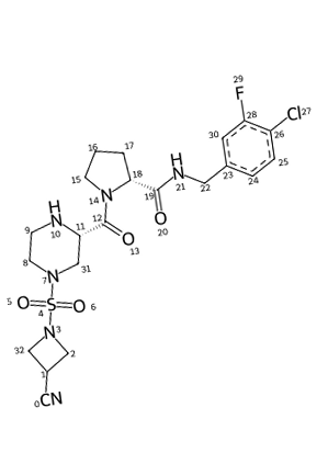 N#CC1CN(S(=O)(=O)N2CCN[C@H](C(=O)N3CCC[C@@H]3C(=O)NCc3ccc(Cl)c(F)c3)C2)C1